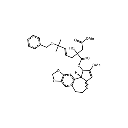 COC(=O)CC(O)(C/C=C/C(C)(C)OCc1ccccc1)C(=O)OC1C(OC)=CC23CCCN2CCc2cc4c(cc2[C@H]13)OCO4